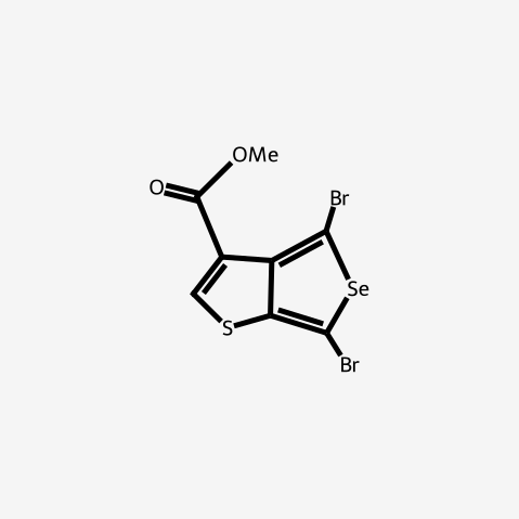 COC(=O)c1csc2c(Br)[se]c(Br)c12